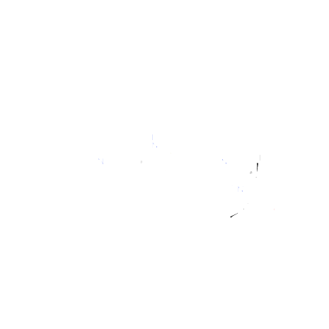 O=S(=O)(N[C@@H]1CCN(Cc2ccccc2)C1)c1ccc(N2[C@@H]3CC[C@H]2COC3)nc1